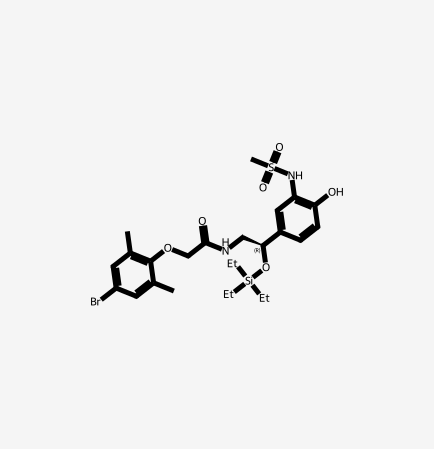 CC[Si](CC)(CC)O[C@@H](CNC(=O)COc1c(C)cc(Br)cc1C)c1ccc(O)c(NS(C)(=O)=O)c1